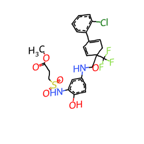 COC(=O)CCS(=O)(=O)Nc1cc(NC(=O)C2(C(F)(F)F)C=CC(c3ccccc3Cl)=CC2)ccc1O